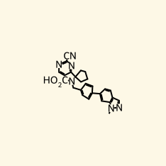 Cn1ncc2ccc(-c3ccc(CN(C(=O)O)C4(c5ccnc(C#N)n5)CCCC4)cc3)cc21